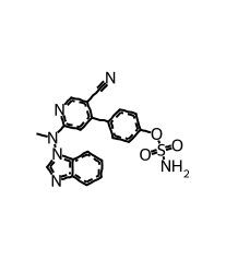 CN(c1cc(-c2ccc(OS(N)(=O)=O)cc2)c(C#N)cn1)n1cnc2ccccc21